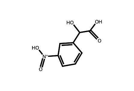 O=C(O)C(O)c1cccc([N+](=O)O)c1